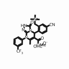 COC(=O)C1=C(C)N(c2cccc(C(F)(F)F)c2)c2n[nH]c(=O)n2C1c1ccc(C#N)cc1C[N+](C)(C)C.O=C[O-]